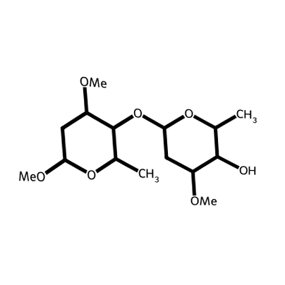 COC1CC(OC)C(OC2CC(OC)C(O)C(C)O2)C(C)O1